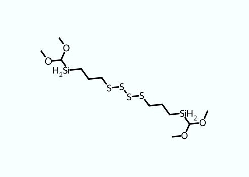 COC(OC)[SiH2]CCCSSSSCCC[SiH2]C(OC)OC